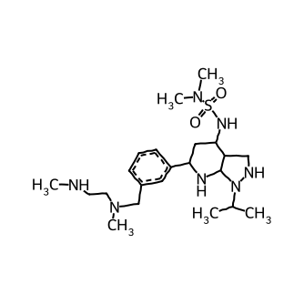 CNCCN(C)Cc1cccc(C2CC(NS(=O)(=O)N(C)C)C3CNN(C(C)C)C3N2)c1